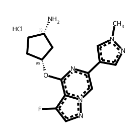 Cl.Cn1cc(-c2cn3ncc(F)c3c(O[C@@H]3CC[C@H](N)C3)n2)cn1